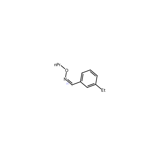 CCCO/N=[C]\c1cccc(CC)c1